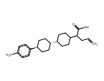 C=CCC(C(=O)O)C1CCC([C@H]2CC[C@H](c3ccc(C)cc3)CC2)CC1